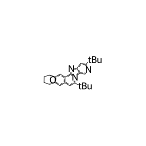 CC(C)(C)c1cc2nc3c4cc5c(cc4cc(C(C)(C)C)n3c2cn1)C1CCC5O1